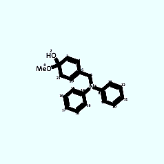 COC1(O)C=CC(CN(c2ccccc2)c2ccccc2)=CC1